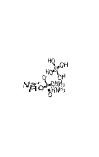 N.N.O=P([O-])(O)O.O[Si](O)(O)O.[Na+]